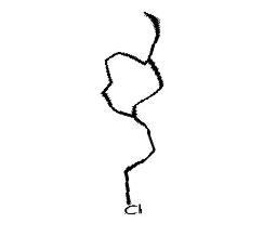 CC1CCC(CCCl)C1